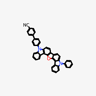 N#Cc1ccc(-c2ccc(-n3c4ccccc4c4c5oc6c(ccc7c6c6ccccc6n7-c6ccccc6)c5ccc43)cc2)cc1